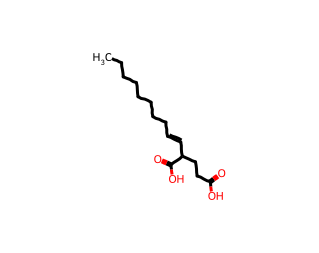 CCCCCCCCC=CC(CCC(=O)O)C(=O)O